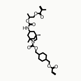 C=CC(=O)OCC1CCC(COC(=O)N2C[C@@]3(C)CC(NC(=O)OC(C)COC(=O)C(=C)C)CC2(C)C3)CC1